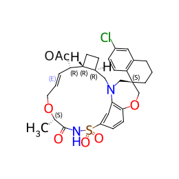 CC(=O)O[C@H]1/C=C/CO[C@@H](C)C(=O)NS(=O)(=O)c2ccc3c(c2)N(C[C@@H]2CC[C@H]21)C[C@@]1(CCCc2cc(Cl)ccc21)CO3